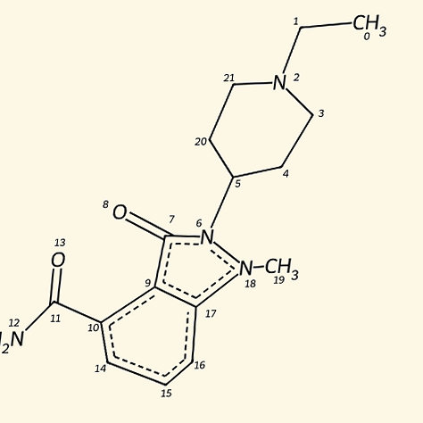 CCN1CCC(n2c(=O)c3c(C(N)=O)cccc3n2C)CC1